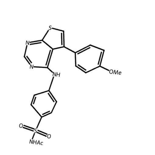 COc1ccc(-c2csc3ncnc(Nc4ccc(S(=O)(=O)NC(C)=O)cc4)c23)cc1